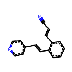 N#C/C=C/c1ccccc1/C=C/c1ccncc1